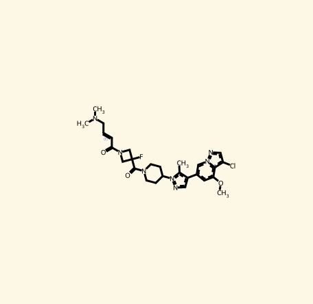 COc1cc(-c2cnn(C3CCN(C(=O)C4(F)CN(C(=O)/C=C/CN(C)C)C4)CC3)c2C)cn2ncc(Cl)c12